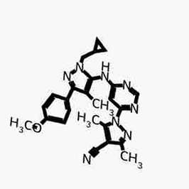 COc1ccc(-c2nn(CC3CC3)c(Nc3cc(-n4nc(C)c(C#N)c4C)ncn3)c2C)cc1